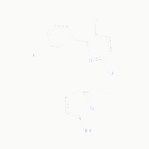 Nc1cccc(S(=O)(=O)Nc2ccc(Cl)c(-c3cccc(C(F)(F)F)c3)n2)n1